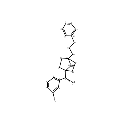 O[C@@H](c1cccc(F)c1)C12CCC(CCCc3ccccc3)(CC1)N2